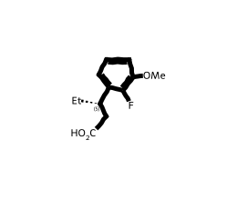 CC[C@@H](CC(=O)O)c1cccc(OC)c1F